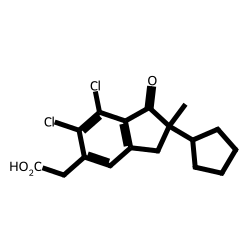 CC1(C2CCCC2)Cc2cc(CC(=O)O)c(Cl)c(Cl)c2C1=O